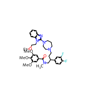 CCOCCn1c(N2CCCN(CCC(CN(C)C(=O)c3cc(OC)c(OC)c(OC)c3)c3ccc(F)c(F)c3)CC2)nc2ccccc21